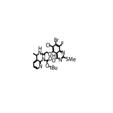 CSc1nc(O)c2c(OCCNC(C)c3cccnc3NC(=O)OC(C)(C)C)c(Cl)c(Br)c(F)c2n1